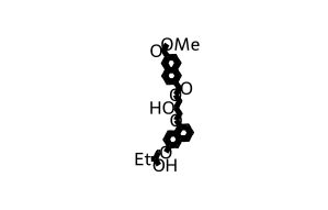 CCC(O)COc1ccc2c(OCC(O)COC(=O)c3ccc4cc(C(=O)OC)ccc4c3)cccc2c1